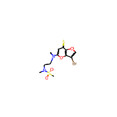 CN(CCN(C)S(C)(=O)=O)c1cc(=S)c2occ(Br)c2o1